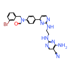 N#Cc1cnc(NCCNc2nccc(-c3ccc(N(C=O)Cc4cccc(Br)c4)cc3)n2)nc1N